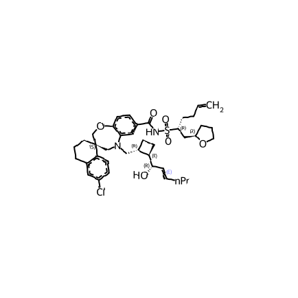 C=CCC[C@H](C[C@H]1CCCO1)S(=O)(=O)NC(=O)c1ccc2c(c1)N(C[C@@H]1CC[C@H]1[C@@H](O)/C=C/CCC)C[C@@]1(CCCc3cc(Cl)ccc31)CO2